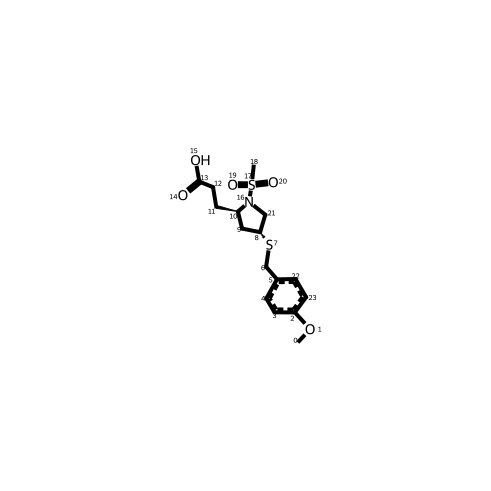 COc1ccc(CS[C@@H]2C[C@@H](CCC(=O)O)N(S(C)(=O)=O)C2)cc1